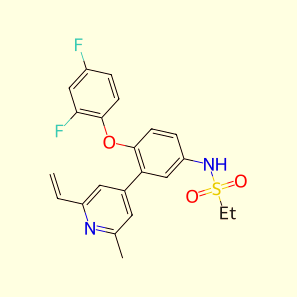 C=Cc1cc(-c2cc(NS(=O)(=O)CC)ccc2Oc2ccc(F)cc2F)cc(C)n1